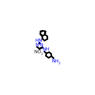 NCC1CCC(CNc2nc(N[C@H]3CCCc4ccccc43)ncc2[N+](=O)[O-])CC1